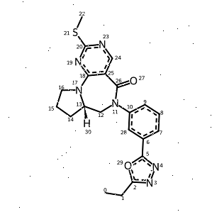 CCc1nnc(-c2cccc(N3C[C@@H]4CCCN4c4nc(SC)ncc4C3=O)c2)o1